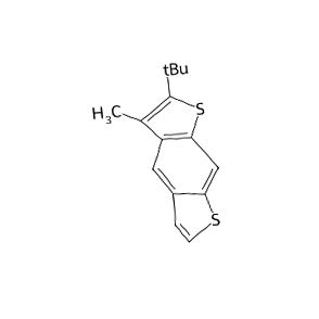 Cc1c(C(C)(C)C)sc2cc3sccc3cc12